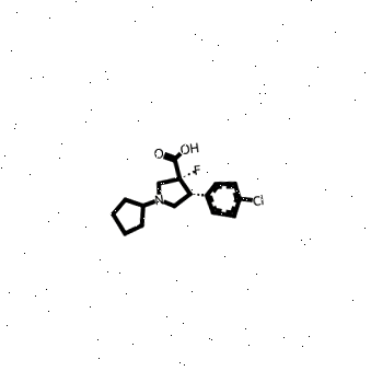 O=C(O)[C@]1(F)CN(C2CCCC2)C[C@H]1c1ccc(Cl)cc1